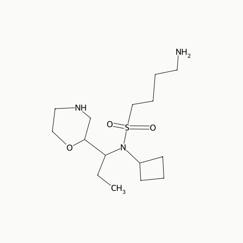 CCC(C1CNCCO1)N(C1CCC1)S(=O)(=O)CCCCN